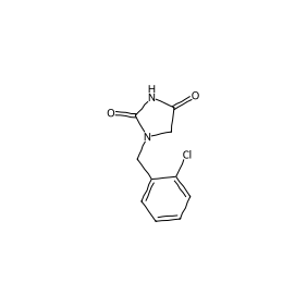 O=C1CN(Cc2ccccc2Cl)C(=O)N1